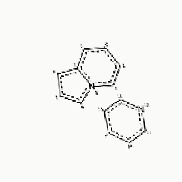 c1ccn2cccc2c1.c1ccncc1